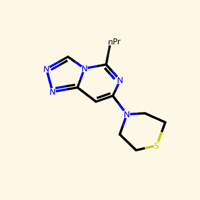 CCCc1nc(N2CCSCC2)cc2nncn12